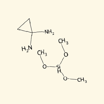 CO[SiH](OC)OC.NC1(N)CC1